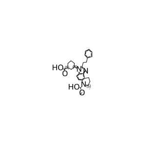 COC(O)N1c2ccc3c(nc(CCc4ccccc4)n3[C@@H]3CCC[C@H](C(=O)O)C3)c2CC[C@@H]1C